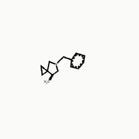 C=C1CN(Cc2ccccc2)CC12CC2